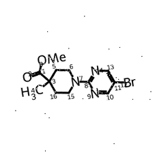 COC(=O)C1(C)CCN(c2ncc(Br)cn2)CC1